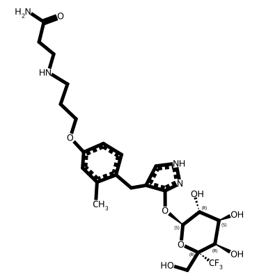 Cc1cc(OCCCNCCC(N)=O)ccc1Cc1c[nH]nc1O[C@@H]1O[C@@](CO)(C(F)(F)F)[C@H](O)[C@H](O)[C@H]1O